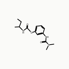 CCC(C)NC(=O)Oc1cccc(NC(=O)N(C)C)c1